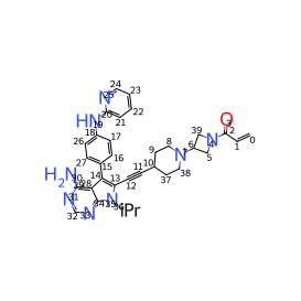 C=CC(=O)N1CC(N2CCC(C#Cc3c(-c4ccc(Nc5ccccn5)cc4)c4c(N)ncnc4n3C(C)C)CC2)C1